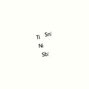 [Ni].[Sb].[Sn].[Ti]